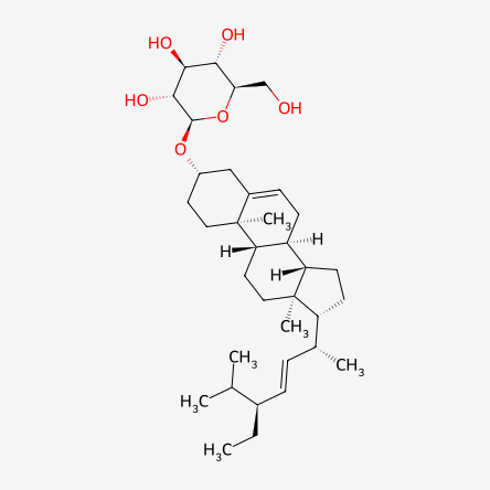 CC[C@H](/C=C/[C@@H](C)[C@H]1CC[C@H]2[C@@H]3CC=C4C[C@@H](O[C@@H]5O[C@H](CO)[C@@H](O)[C@H](O)[C@H]5O)CC[C@]4(C)[C@H]3CC[C@]12C)C(C)C